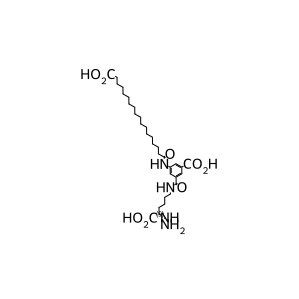 NN[C@@H](CCCCNC(=O)c1cc(NC(=O)CCCCCCCCCCCCCCCCC(=O)O)cc(C(=O)O)c1)C(=O)O